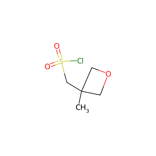 CC1(CS(=O)(=O)Cl)COC1